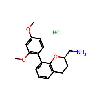 COc1ccc(-c2cccc3c2O[C@@H](CN)CC3)c(OC)c1.Cl